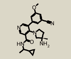 COc1cc(C#N)cc(-c2cncc(C(=O)NC(C)C3CC3)c2N2CC[C@](C)(N)C2)c1